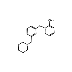 COc1ccccc1Oc1cccc(CN2CC[CH]CC2)c1